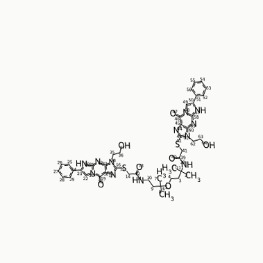 CC(C)(CCOC(C)(C)CCNC(=O)CSc1nc2c(=O)n3cc(-c4ccccc4)[nH]c3nc2n1CCO)NC(=O)CSc1nc2c(=O)n3cc(-c4ccccc4)[nH]c3nc2n1CCO